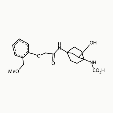 COCc1ccccc1OCC(=O)NC12CCC(NC(=O)O)(CC1)C(O)C2